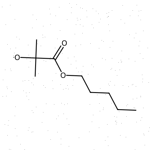 CCCCCOC(=O)C(C)(C)[O]